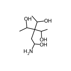 CC(O)C(CC(N)O)(C(C)O)C(C)O